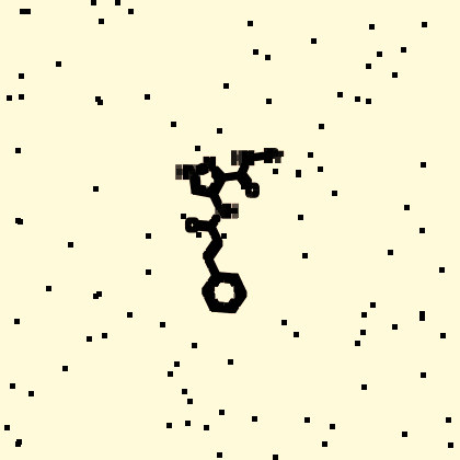 CC(C)NC(=O)c1n[nH]cc1NC(=O)C=Cc1ccccc1